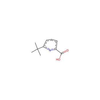 CC(C)(C)c1cccc(C(=O)O)n1